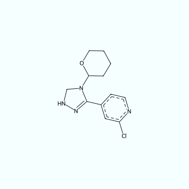 Clc1cc(C2=NNCN2C2CCCCO2)ccn1